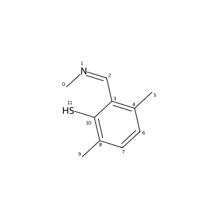 C/N=C\c1c(C)ccc(C)c1S